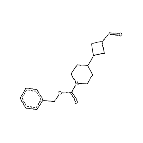 O=CC1CC(C2CCN(C(=O)OCc3ccccc3)CC2)C1